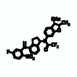 CC(=O)O[C@H]1c2ccc(N(C(=O)C(F)(F)F)C3CCc4c(Nc5cc(F)ccc5[N+](=O)[O-])cccc43)cc2OC1C